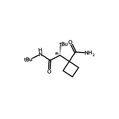 CC(C)(C)NC(=O)[C@H](C(C)(C)C)C1(C(N)=O)CCC1